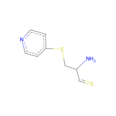 NC([C]=S)CSc1ccncc1